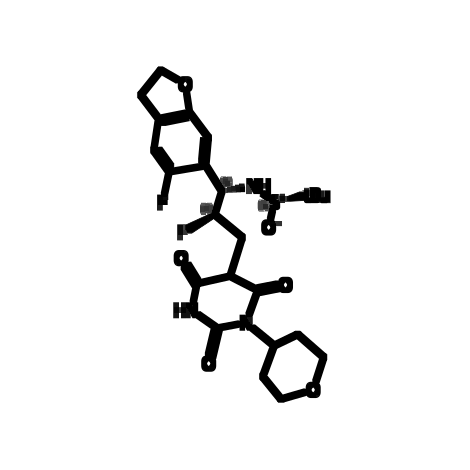 CC(C)(C)[S@@+]([O-])N[C@@H](c1cc2c(cc1F)CCO2)[C@H](F)CC1C(=O)NC(=O)N(C2CCOCC2)C1=O